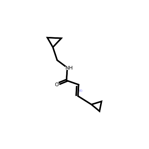 O=C(/C=C/C1CC1)NCC1CC1